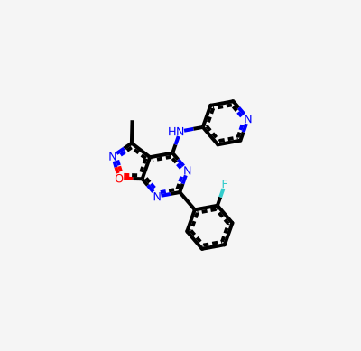 Cc1noc2nc(-c3ccccc3F)nc(Nc3ccncc3)c12